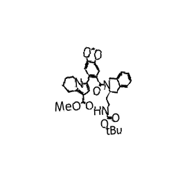 COC(=O)c1cc(-c2cc3c(cc2C(=O)N2Cc4ccccc4C[C@H]2CCNC(=O)OC(C)(C)C)OCO3)n2c1CCCC2